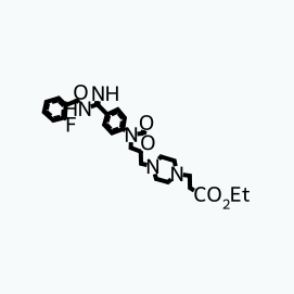 CCOC(=O)CCN1CCN(CC2CN(c3ccc(C(=N)NC(=O)c4ccccc4F)cc3)C(=O)O2)CC1